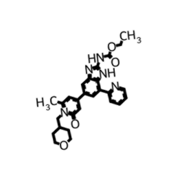 CCOC(=O)Nc1nc2cc(-c3cc(C)n(CC4CCOCC4)c(=O)c3)cc(-c3ccccn3)c2[nH]1